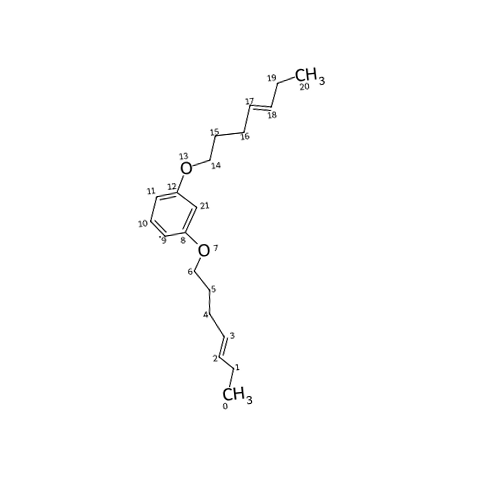 CCC=CCCCOc1[c]ccc(OCCCC=CCC)c1